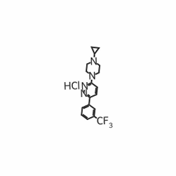 Cl.FC(F)(F)c1cccc(-c2ccc(N3CCN(C4CC4)CC3)nn2)c1